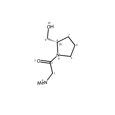 CNCC(=O)N1CCC[C@H]1CO